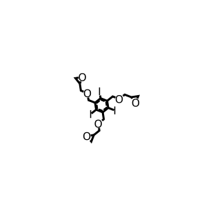 Ic1c(COCC2CO2)c(I)c(COCC2CO2)c(I)c1COCC1CO1